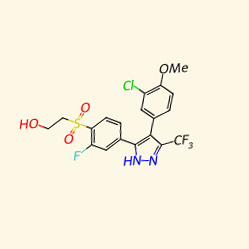 COc1ccc(-c2c(C(F)(F)F)n[nH]c2-c2ccc(S(=O)(=O)CCO)c(F)c2)cc1Cl